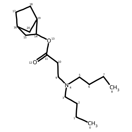 CCCCN(CCCC)CCC(=O)OC1CC2CCC1C2